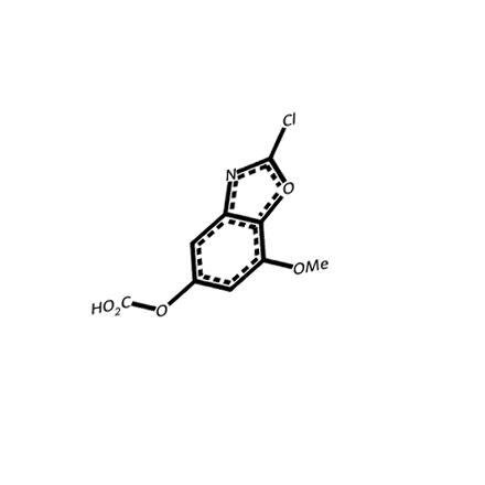 COc1cc(OC(=O)O)cc2nc(Cl)oc12